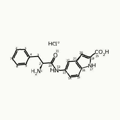 Cl.N[C@@H](Cc1ccccc1)C(=O)Nc1ccc2[nH]c(C(=O)O)cc2c1